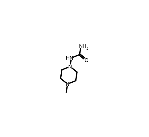 CN1CCN(NC(N)=O)CC1